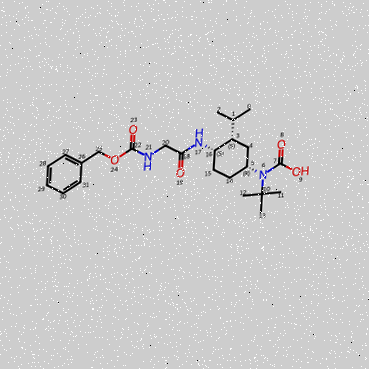 CC(C)[C@@H]1C[C@H](N(C(=O)O)C(C)(C)C)CC[C@@H]1NC(=O)CNC(=O)OCc1ccccc1